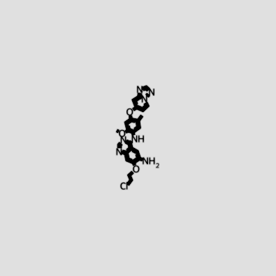 COc1cc(Oc2ccn3ncnc3c2)c(C)cc1Nc1ncnc2cc(OCCCl)c(N)cc12